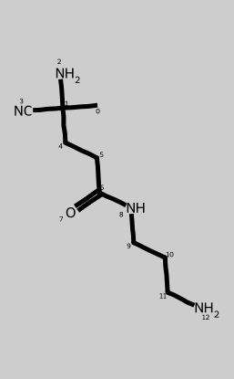 CC(N)(C#N)CCC(=O)NCCCN